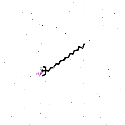 CCCCCCCCC=CCCCCCCC(CC)(CC)C(=O)P